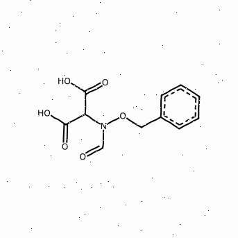 O=CN(OCc1ccccc1)C(C(=O)O)C(=O)O